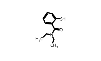 CCN(CC)C(=O)c1ccccc1S